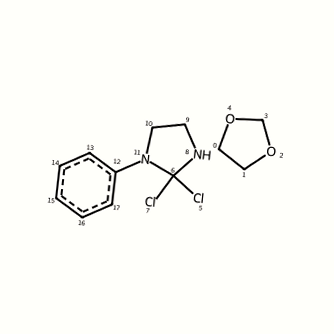 C1COCO1.ClC1(Cl)NCCN1c1ccccc1